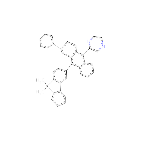 CC1(C)c2ccccc2-c2cc(-c3c4ccccc4c(-c4cnccn4)c4ccc(-c5ccccc5)cc34)ccc21